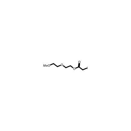 COCCOCCOC(=O)CI